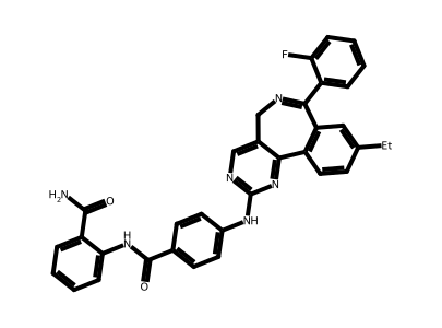 CCc1ccc2c(c1)C(c1ccccc1F)=NCc1cnc(Nc3ccc(C(=O)Nc4ccccc4C(N)=O)cc3)nc1-2